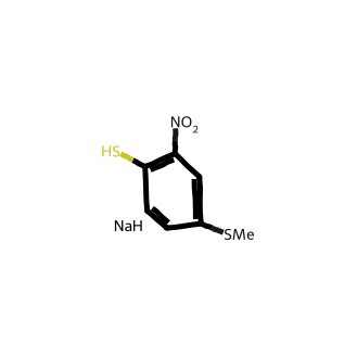 CSc1ccc(S)c([N+](=O)[O-])c1.[NaH]